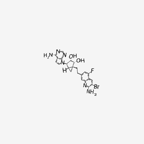 Nc1nc2cc(CC[C@@]34C[C@@H]3[C@@H](n3ccc5c(N)ncnc53)[C@H](O)[C@@H]4O)cc(F)c2cc1Br